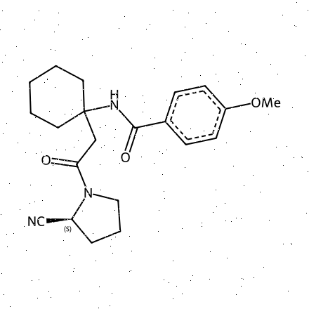 COc1ccc(C(=O)NC2(CC(=O)N3CCC[C@H]3C#N)CCCCC2)cc1